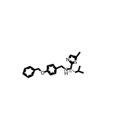 Cc1cnc([C@H](CC(C)C)NCc2ccc(OCc3ccccc3)cc2)s1